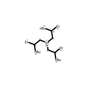 CCCCC(CC)[CH2][SnH]([CH2]C(CC)CCCC)[CH2]C(CC)CCCC